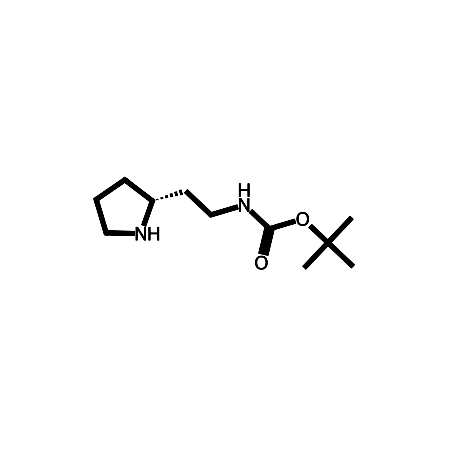 CC(C)(C)OC(=O)NCC[C@H]1CCCN1